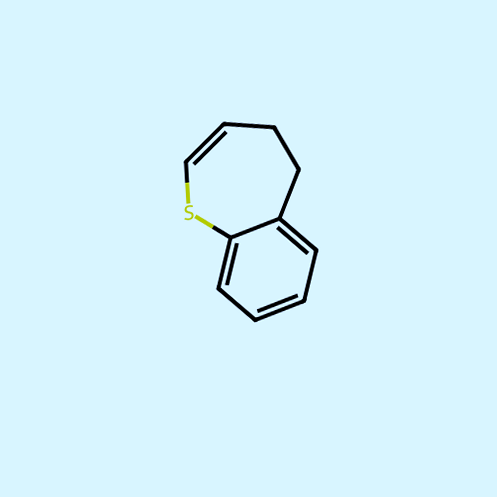 C1=CSc2ccccc2CC1